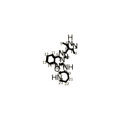 Cc1n[nH]c(C)c1-c1nc2c3ccccc3nc(N[C@@H]3CCCCNC3=O)n2n1